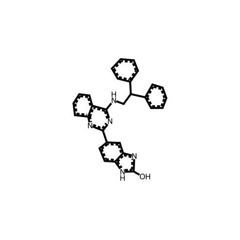 Oc1nc2cc(-c3nc(NCC(c4ccccc4)c4ccccc4)c4ccccc4n3)ccc2[nH]1